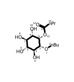 CCCCO[C@@H]1[C@@H](O)[C@H](O)[C@@H](O)[C@H](O)[C@@H]1OC(=O)CCC